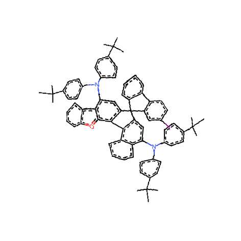 CC(C)(C)c1ccc(N(c2ccc(C(C)(C)C)cc2)c2cc3c(c4ccccc24)-c2c(cc(N(c4ccc(C(C)(C)C)cc4)c4ccc(C(C)(C)C)cc4)c4c2oc2ccccc24)C32c3ccccc3-c3ccc(I)cc32)cc1